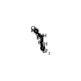 CC[PH](C)(CCCC(=O)NCc1ccc(C(F)(F)F)cn1)NC(=O)COc1ccc(Cl)c(F)c1